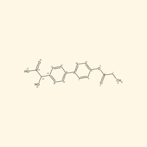 CCC(=O)Oc1ccc(-c2ccc(C(O)C(=O)O)cc2)cc1